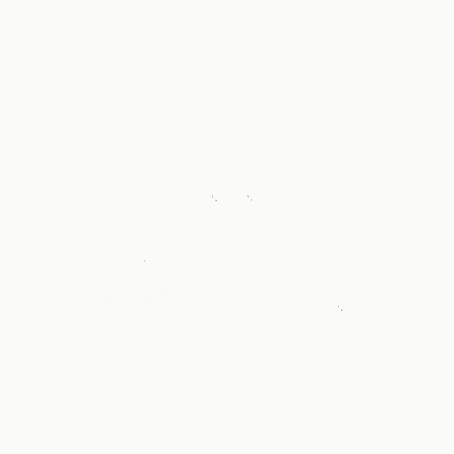 CC1(C)c2ccccc2Sc2ccc(-c3cc(-c4ccc(C#N)cc4)cc(-c4nc(-c5ccccc5)c5ccccc5n4)c3)cc21